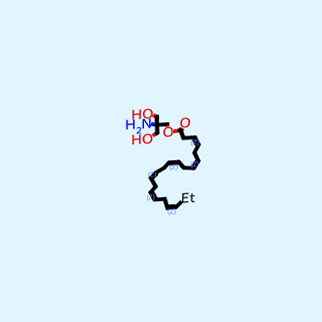 CC/C=C\C/C=C\C/C=C\C/C=C\C/C=C\C/C=C\CC(=O)OCC(N)(CO)CO